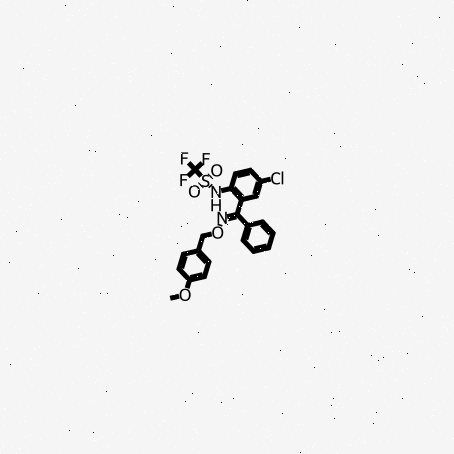 COc1ccc(CO/N=C(\c2ccccc2)c2cc(Cl)ccc2NS(=O)(=O)C(F)(F)F)cc1